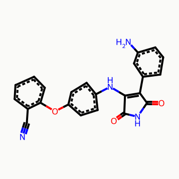 N#Cc1ccccc1Oc1ccc(NC2=C(c3cccc(N)c3)C(=O)NC2=O)cc1